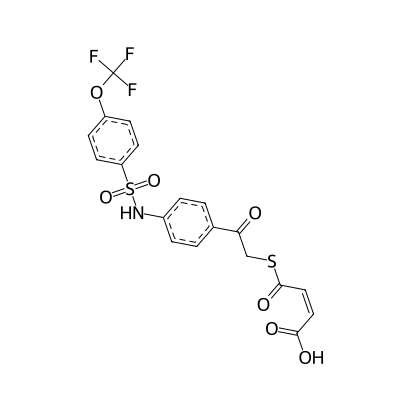 O=C(O)/C=C\C(=O)SCC(=O)c1ccc(NS(=O)(=O)c2ccc(OC(F)(F)F)cc2)cc1